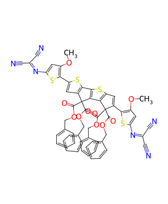 COc1cc(N=C(C#N)C#N)sc1C1=Cc2sc3c(c2C1(C(=O)OCc1ccccc1)C(=O)OCc1ccccc1)C(C(=O)OCc1ccccc1)(C(=O)OCc1ccccc1)c1cc(-c2sc(N=C(C#N)C#N)cc2OC)sc1-3